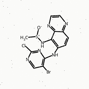 C[S+]([O-])Nc1c(Nc2nc(Cl)ncc2Br)ccc2nccnc12